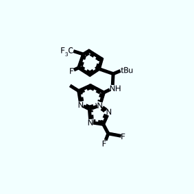 Cc1cc(NC(c2ccc(C(F)(F)F)c(F)c2)C(C)(C)C)n2nc(C(F)F)nc2n1